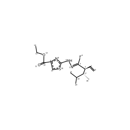 C=C[C@H](C(F)=NNc1nc(C(=O)OCC)cs1)[C@H](C)C(C)C